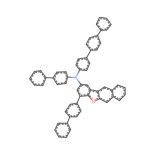 c1ccc(-c2ccc(-c3ccc(N(c4ccc(-c5ccccc5)cc4)c4cc(-c5ccc(-c6ccccc6)cc5)c5oc6cc7ccccc7cc6c5c4)cc3)cc2)cc1